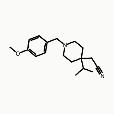 COc1ccc(CN2CCC(CC#N)(C(C)C)CC2)cc1